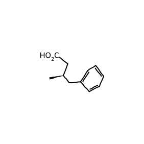 C[C@@H](CC(=O)O)Cc1ccccc1